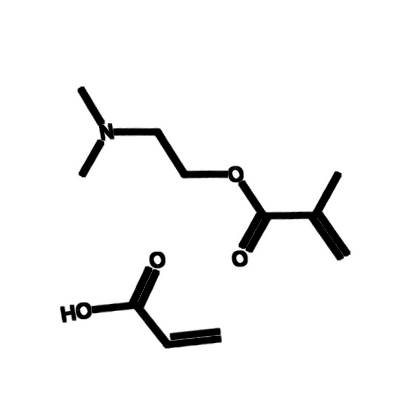 C=C(C)C(=O)OCCN(C)C.C=CC(=O)O